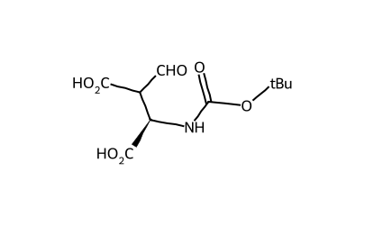 CC(C)(C)OC(=O)N[C@@H](C(=O)O)C(C=O)C(=O)O